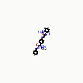 CCCCNC(C(=O)NCc1ccccc1)c1ccc(/C=C/C(=O)Nc2ccccc2N)cc1